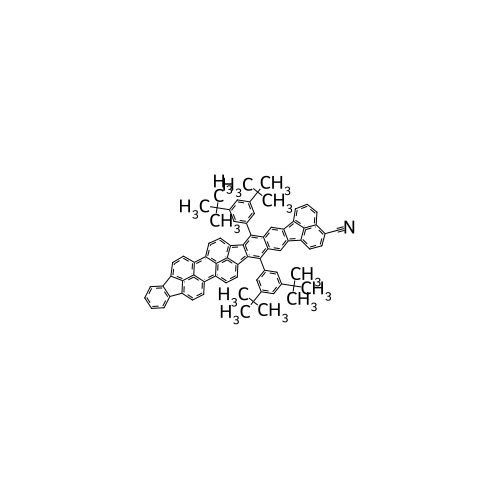 CC(C)(C)c1cc(-c2c3cc4c(cc3c(-c3cc(C(C)(C)C)cc(C(C)(C)C)c3)c3c5ccc6c7ccc8c9c(ccc(c%10ccc(c23)c5c%106)c97)-c2ccccc2-8)c2ccc(C#N)c3cccc4c32)cc(C(C)(C)C)c1